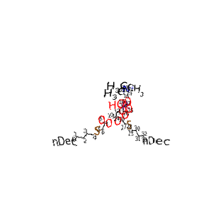 CCCCCCCCCCCCCCSCC(=O)OC[C@H](COP(=O)(O)OCC[N+](C)(C)C)OC(=O)CSCCCCCCCCCCCCCC